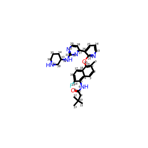 Cc1ccc2c(NC(=O)CC(C)(C)C)c(F)ccc2c1Oc1ncccc1-c1ccnc(NC2CCCNC2)n1